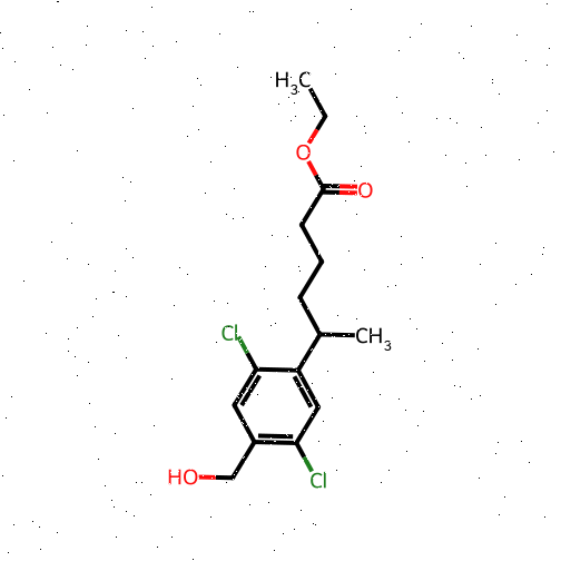 CCOC(=O)CCCC(C)c1cc(Cl)c(CO)cc1Cl